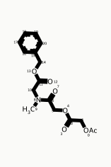 CC(=O)OCC(=O)OCC(=O)N(C)CC(=O)OCc1ccccc1